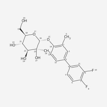 Cc1cc(-c2ccc(F)c(F)c2)ccc1O[C@H]1O[C@H](CO)[C@@H](O)[C@H](O)[C@]1(C)O